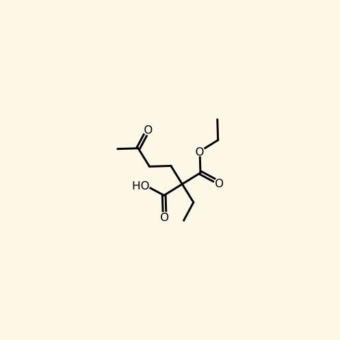 CCOC(=O)C(CC)(CCC(C)=O)C(=O)O